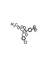 CCOC(=O)CC1=C(Cc2ccc(Cl)cc2)C(=O)N(c2ccc([N+](=O)[O-])cc2)C1=O